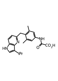 Cc1cc(NC(=O)C(=O)O)cc(C)c1Cc1ccc2[nH]cc(C(C)C)c2n1